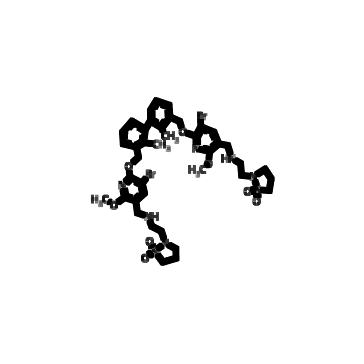 COc1nc(OCc2cccc(-c3cccc(COc4nc(OC)c(CNCCN5CCCS5(=O)=O)cc4Br)c3C)c2C)c(Br)cc1CNCCN1CCCS1(=O)=O